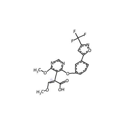 CO/C=C(\C(=O)O)c1c(OC)ncnc1Oc1cccc(-c2cc(C(F)(F)F)no2)c1